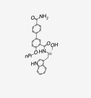 CCCOc1ccc(-c2ccc(C(N)=O)cc2)cc1C(=O)N[C@H](CO)Cc1c[nH]c2ccccc12